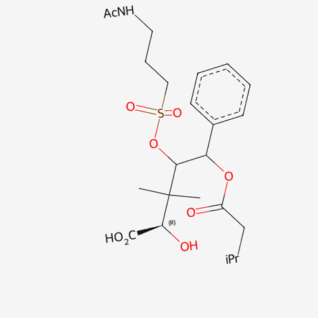 CC(=O)NCCCS(=O)(=O)OC(C(OC(=O)CC(C)C)c1ccccc1)C(C)(C)[C@@H](O)C(=O)O